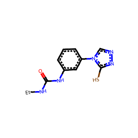 CCNC(=O)Nc1cccc(-n2cnnc2S)c1